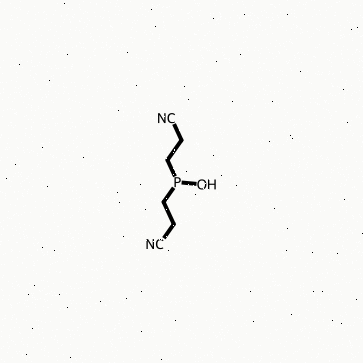 N#CCCP(O)CCC#N